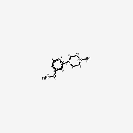 CCCOc1ccnc(N2CCN(C(C)C)CC2)c1